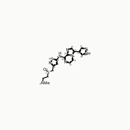 CNCC[S+]([O-])Cc1cc(Nc2nccn3c(-c4cn[nH]c4)cnc23)sn1